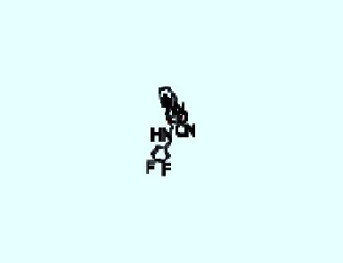 N#Cc1ccc(N2C3CCC2CN(C(=O)CCNCc2ccc(F)c(F)c2)C3)nc1